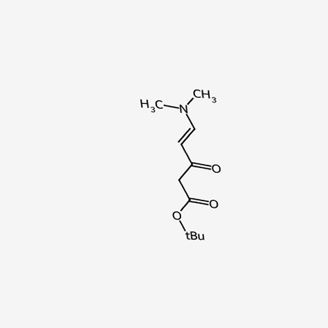 CN(C)C=CC(=O)CC(=O)OC(C)(C)C